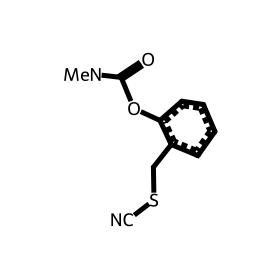 CNC(=O)Oc1ccccc1CSC#N